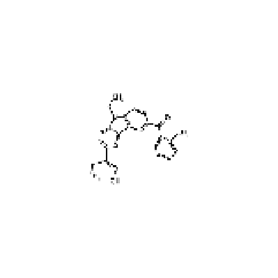 CCC(=NO)c1ccc2c(c1)c1cc(C(=O)c3ccccc3C)ccc1n2CC